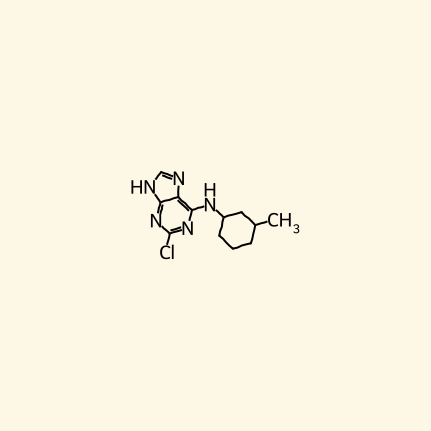 CC1CCCC(Nc2nc(Cl)nc3[nH]cnc23)C1